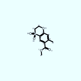 COC(=O)c1cc2c(cc1C)OCCS2(=O)=O